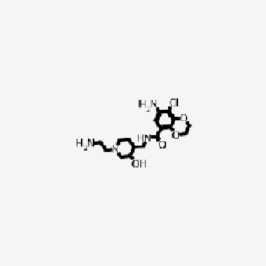 NCCN1CC[C@@H](CNC(=O)c2cc(N)c(Cl)c3c2OCCO3)C(O)C1